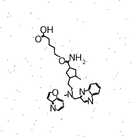 CC1CC(C(N)=O)CC1CCN(C)Cc1cnc2ccccc2n1.CCCCCC(=O)O.c1cnc2ccoc2c1